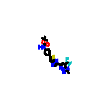 Cc1nc2c(C(F)F)cc(-c3cnc4cc(C5=CC[C@H](NC(=O)OC(C)(C)C)CC5)sc4n3)nn2n1